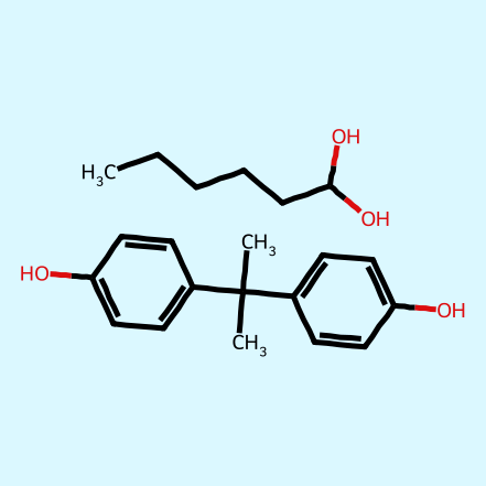 CC(C)(c1ccc(O)cc1)c1ccc(O)cc1.CCCCCC(O)O